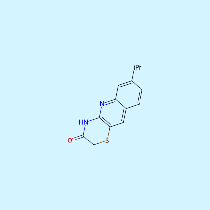 CC(C)c1ccc2cc3c(nc2c1)NC(=O)CS3